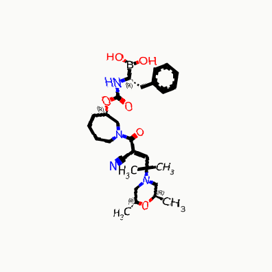 C[C@@H]1CN(C(C)(C)C=C(C#N)C(=O)N2CCCC[C@@H](OC(=O)N[C@@H](Cc3ccccc3)B(O)O)C2)C[C@@H](C)O1